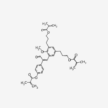 C=C(C)C(=O)OCCCc1cc(/C=C(\C=O)c2ccc(OC(=O)C(=C)C)cc2)c(OC)c(CCCOC(=O)C(=C)C)c1